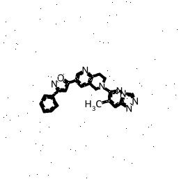 Cc1cc2nncn2nc1N1CCc2ncc(-c3cc(-c4ccccc4)no3)cc2C1